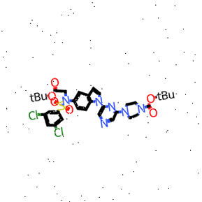 CC(C)(C)OC(=O)CN(c1ccc2c(ccn2-c2cncc(N3CCN(C(=O)OC(C)(C)C)CC3)n2)c1)S(=O)(=O)c1cc(Cl)cc(Cl)c1